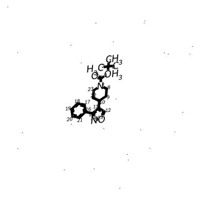 CC(C)(C)OC(=O)N1CCC(c2conc2-c2ccccc2)CC1